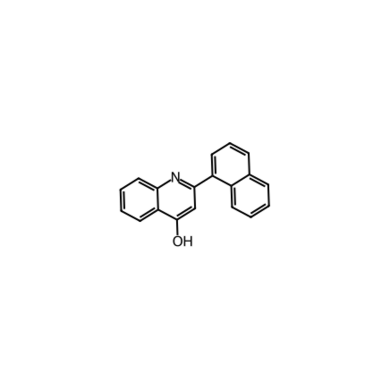 Oc1cc(-c2cccc3ccccc23)nc2ccccc12